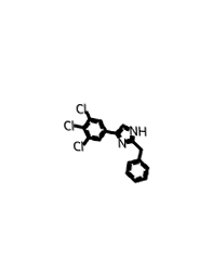 Clc1cc(-c2c[nH]c(Cc3ccccc3)n2)cc(Cl)c1Cl